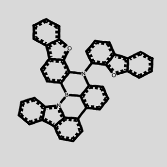 c1cc2c3c(c1)N(c1cccc4c1oc1ccccc14)c1c(ccc4c1oc1ccccc14)B3n1c3ccccc3c3cccc-2c31